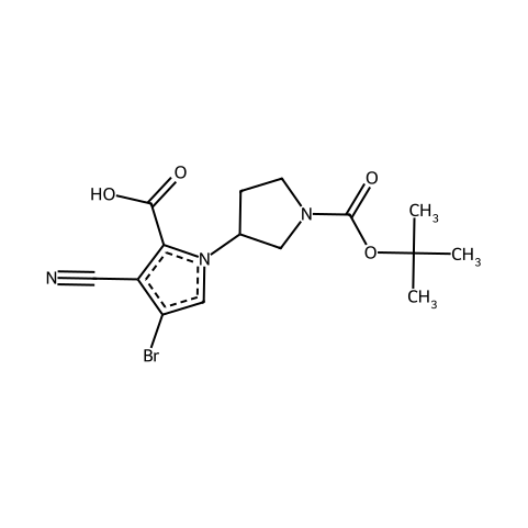 CC(C)(C)OC(=O)N1CCC(n2cc(Br)c(C#N)c2C(=O)O)C1